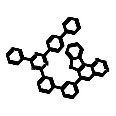 c1ccc(-c2ccc(-c3nc(-c4ccccc4)nc(-c4cccc(-c5cccc(-c6cc7cncnc7c7c6oc6ccccc67)c5)c4)n3)cc2)cc1